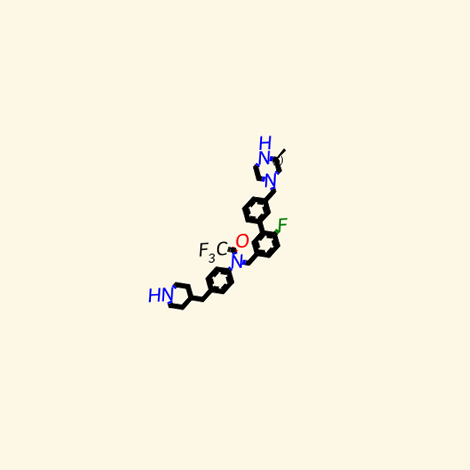 C[C@H]1CN(Cc2cccc(-c3cc(CN(C(=O)C(F)(F)F)c4ccc(CC5CCNCC5)cc4)ccc3F)c2)CCN1